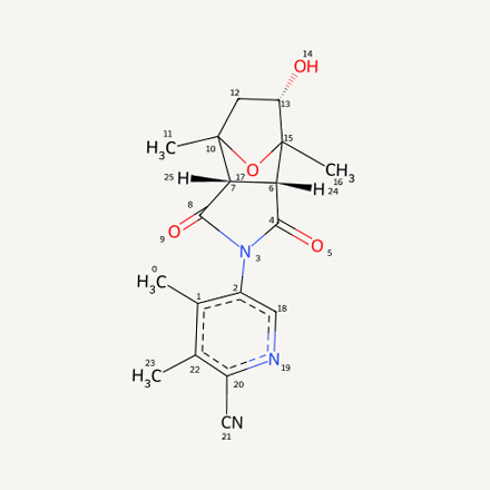 Cc1c(N2C(=O)[C@@H]3[C@H](C2=O)C2(C)C[C@H](O)C3(C)O2)cnc(C#N)c1C